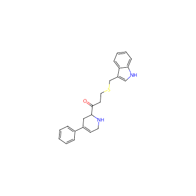 O=C(CCSCc1c[nH]c2ccccc12)C1CC(c2ccccc2)=CCN1